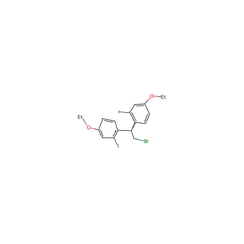 CCOc1ccc(C(CBr)c2ccc(OCC)cc2I)c(I)c1